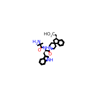 CC(C)(N)C(=O)N[C@H](Cc1c[nH]c2ccccc12)C(=O)N1CCC2(CC1)C[C@@H](CC(=O)O)c1ccccc12